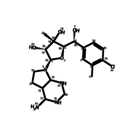 Cc1cc([C@@H](O)[C@H]2O[C@@H](N3CCC4C(N)NCNC43)[C@H](O)[C@]2(C)O)ccc1Cl